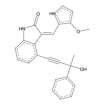 COc1cc[nH]c1C=C1C(=O)Nc2cccc(C#CC(C)(O)c3ccccc3)c21